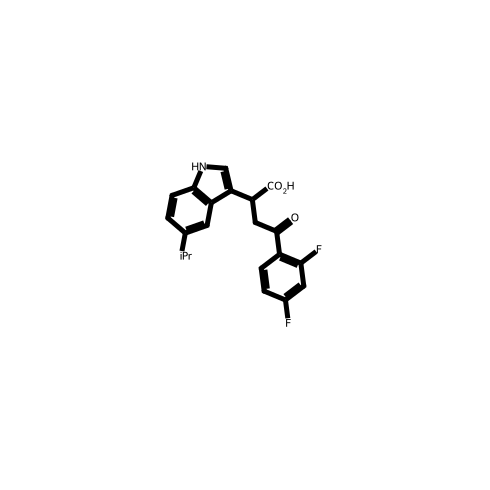 CC(C)c1ccc2[nH]cc(C(CC(=O)c3ccc(F)cc3F)C(=O)O)c2c1